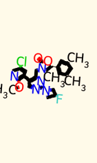 COc1ncc(Cl)cc1-c1cnc(N2CC(F)C2)nc1CN1C(=O)O[C@H](c2cc(C)cc(C)c2)[C@@H]1C